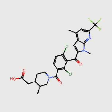 Cc1cc(C(F)(F)F)nc2c1cc(C(=O)c1c(Cl)ccc(C(=O)N3CC[C@H](CC(=O)O)[C@H](C)C3)c1Cl)n2C